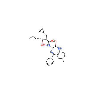 CCCCC(O)C(CC1CC1)C(=O)N[C@H]1N=C(c2ccccc2)c2cc(C)ccc2NC1=O